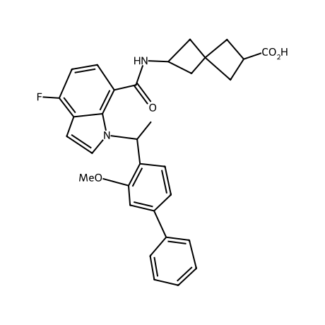 COc1cc(-c2ccccc2)ccc1C(C)n1ccc2c(F)ccc(C(=O)NC3CC4(C3)CC(C(=O)O)C4)c21